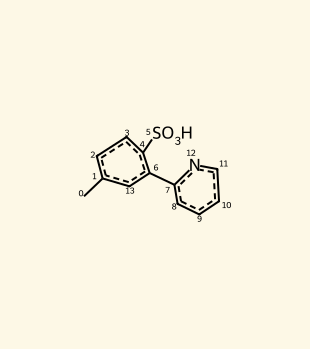 Cc1ccc(S(=O)(=O)O)c(-c2ccccn2)c1